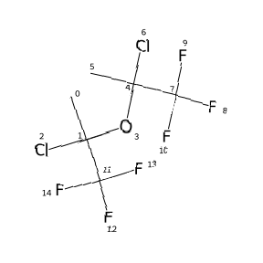 CC(Cl)(OC(C)(Cl)C(F)(F)F)C(F)(F)F